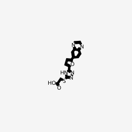 O=C(O)CSc1nnc(-c2ccc(-c3ccc4nccnc4c3)o2)[nH]1